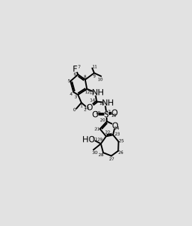 CC(C)c1ccc(F)c(C(C)C)c1NC(=O)NS(=O)(=O)c1cc2c(o1)CCCCC2(C)O